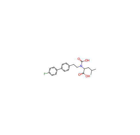 CC(C)CC(C(=O)O)N(CCc1ccc(-c2ccc(F)cc2)cc1)C(=O)O